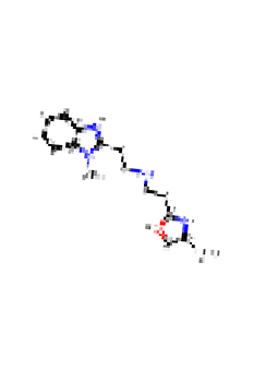 CCCCn1c(CCNCCc2nc(C=O)co2)nc2ccccc21